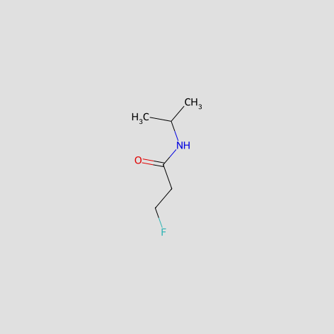 CC(C)NC(=O)CCF